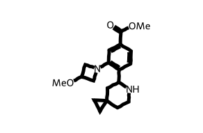 COC(=O)c1ccc(C2CC3(CCN2)CC3)c(N2CC(OC)C2)c1